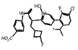 C=C(Nc1ccc(C(=O)O)cc1)C(CC1CC(F)C1)c1ccc(C2=C(C(C)F)CCC(Cl)=C2F)c[n+]1O